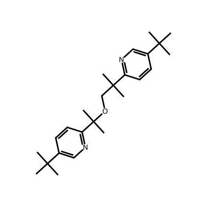 CC(C)(C)c1ccc(C(C)(C)COC(C)(C)c2ccc(C(C)(C)C)cn2)nc1